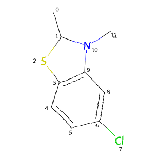 CC1Sc2ccc(Cl)cc2N1C